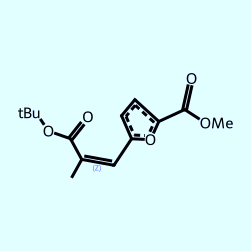 COC(=O)c1ccc(/C=C(/C)C(=O)OC(C)(C)C)o1